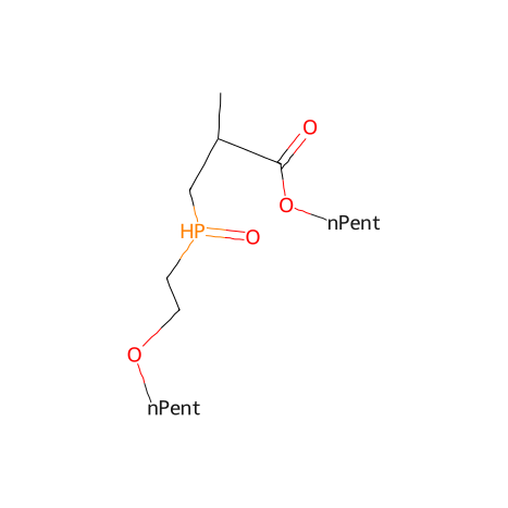 CCCCCOCC[PH](=O)CC(C)C(=O)OCCCCC